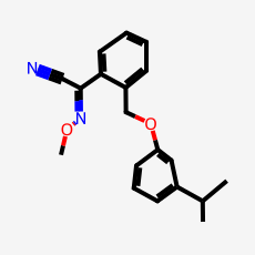 CON=C(C#N)c1ccccc1COc1cccc(C(C)C)c1